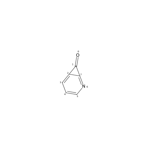 O=c1c2cccnc12